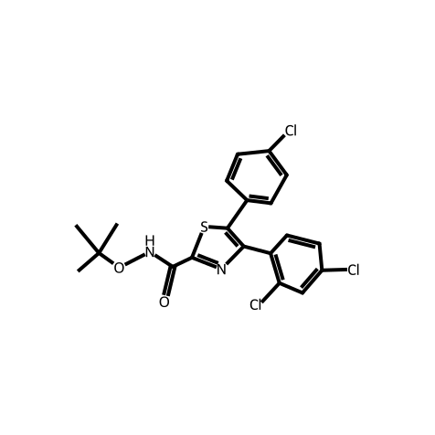 CC(C)(C)ONC(=O)c1nc(-c2ccc(Cl)cc2Cl)c(-c2ccc(Cl)cc2)s1